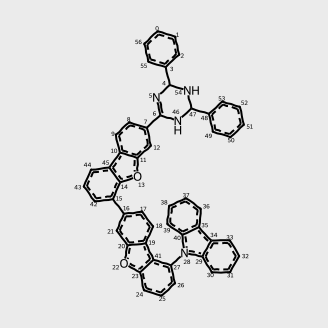 c1ccc(C2N=C(c3ccc4c(c3)oc3c(-c5ccc6c(c5)oc5cccc(-n7c8ccccc8c8ccccc87)c56)cccc34)NC(c3ccccc3)N2)cc1